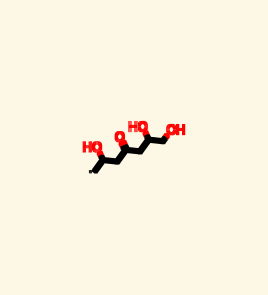 [CH2]C(O)CC(=O)CC(O)CO